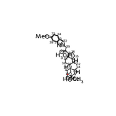 COCC[C@]12CC[C@@](C)(O)C[C@@H]1CC[C@H]1[C@@H]3CC[C@H](C(=O)Cn4cc5ccc(OC)cc5n4)[C@@]3(C)CC[C@@H]12